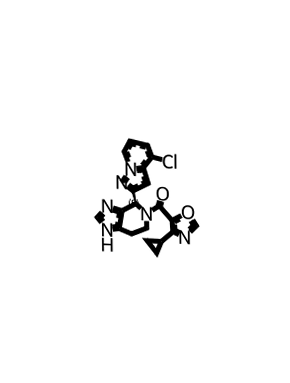 O=C(c1ocnc1C1CC1)N1CCc2[nH]cnc2[C@H]1c1cc2c(Cl)cccn2n1